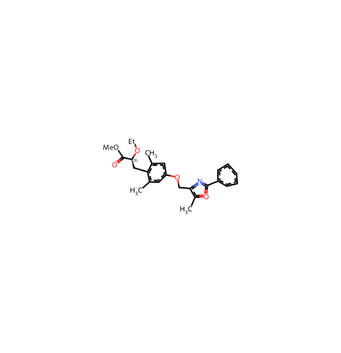 CCO[C@@H](Cc1c(C)cc(OCc2nc(-c3ccccc3)oc2C)cc1C)C(=O)OC